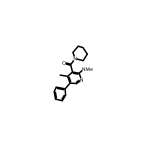 CNc1n[c]c(-c2ccccc2)c(C)c1C(=O)N1CCCCC1